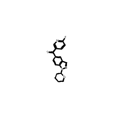 O=C(c1ccc(F)nc1)c1ccc2c(cnn2C2CCCCO2)c1